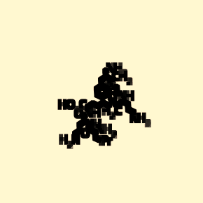 C=C(NCC(=O)NC(CCCN)C(=C)NCCCCC(NC(=O)C(CCCN)NC(=O)C(N)CC(C)C)C(=O)O)C(CN)Cc1ccccc1